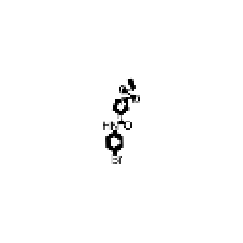 C=CS(=O)(=O)N1CC[C@@H](C(=O)Nc2ccc(Br)cc2)C1